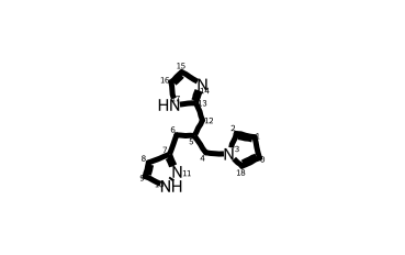 c1ccn(C[C](Cc2cc[nH]n2)Cc2ncc[nH]2)c1